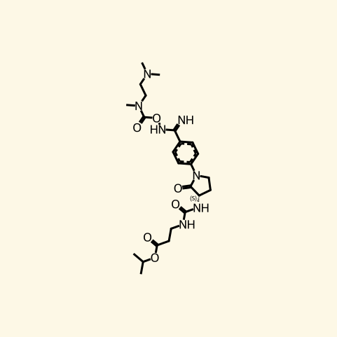 CC(C)OC(=O)CCNC(=O)N[C@H]1CCN(c2ccc(C(=N)NOC(=O)N(C)CCN(C)C)cc2)C1=O